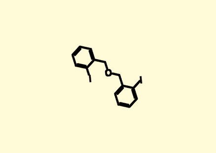 Ic1ccccc1COCc1ccccc1I